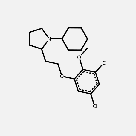 COc1c(Cl)cc(Cl)cc1OCCC1CCCN1C1CCCCC1